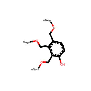 CCCCCCCCCOCc1ccc(O)c(COCCCCCCCCC)c1COCCCCCCCCC